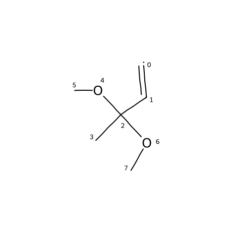 [CH]=CC(C)(OC)OC